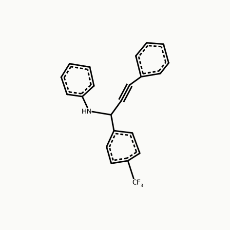 FC(F)(F)c1ccc(C(C#Cc2ccccc2)Nc2ccccc2)cc1